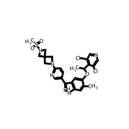 Cc1cc2[nH]nc(-c3ccc(N4CC5(C4)CN(S(C)(=O)=O)C5)nc3)c2cc1OC(C)c1c(Cl)cncc1Cl